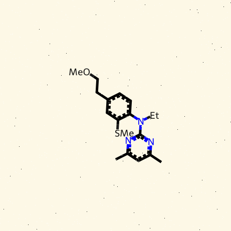 CCN(c1nc(C)cc(C)n1)c1ccc(CCOC)cc1SC